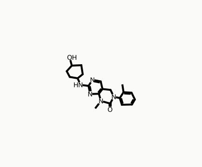 Cc1ccccc1N1Cc2cnc(NC3CCC(O)CC3)nc2N(C)C1=O